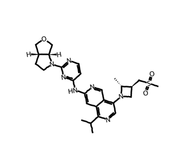 CC(C)c1ncc(N2C[C@H](CS(C)(=O)=O)[C@H]2C)c2cnc(Nc3ccnc(N4CC[C@@H]5COC[C@@H]54)n3)cc12